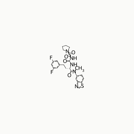 CN(C(=O)[C@H](CCc1cc(F)cc(F)c1)NC(=O)NS(=O)(=O)N1CCCC1)c1ccc2scnc2c1